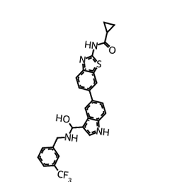 O=C(Nc1nc2ccc(-c3ccc4[nH]cc(C(O)NCc5cccc(C(F)(F)F)c5)c4c3)cc2s1)C1CC1